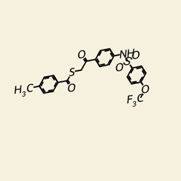 Cc1ccc(C(=O)SCC(=O)c2ccc(NS(=O)(=O)c3ccc(OC(F)(F)F)cc3)cc2)cc1